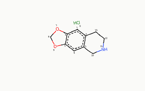 Cl.c1c2c(cc3c1OCO3)CNCC2